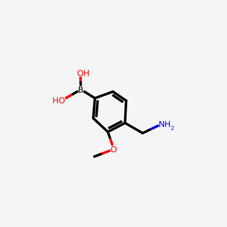 COc1cc(B(O)O)ccc1CN